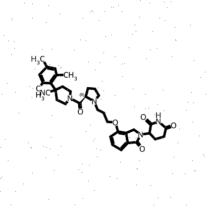 Cc1cc(C)c(C2(C#N)CCN(C(=O)[C@H]3CCCN3CCCOc3cccc4c3CN(C3CCC(=O)NC3=O)C4=O)CC2)c(C)c1